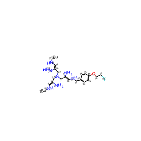 CC(C)(C)N/C=C(\N)CN(C/C(N)=C/NCc1ccc(OCCF)cc1)C/C(=C/NC(C)(C)C)N=N